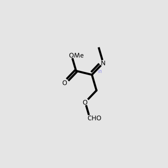 C/N=C(/COC=O)C(=O)OC